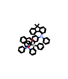 CC1(C)c2ccccc2-c2c(N(c3ccccc3)c3cccc([Si](c4ccccc4)(c4ccccc4)c4ccccc4N(c4ccccc4)c4cccc5ccccc45)c3)cccc21